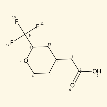 O=C(O)CC1CCOC(C(F)(F)F)C1